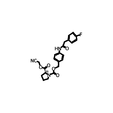 N#CCOC(=O)[C@@H]1CCCN1C(=O)OCc1ccc(NC(=O)Cc2ccc(F)cc2)cc1